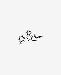 N#Cc1ccc(OCc2cccc(F)c2)c(-n2cnnn2)c1